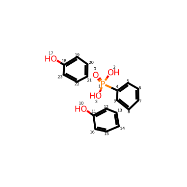 O=P(O)(O)c1ccccc1.Oc1ccccc1.Oc1ccccc1